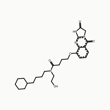 O=C1Cn2c(nc3c(OCCCC(=O)N(CCO)CCCCC4CCCCC4)cccc3c2=O)N1